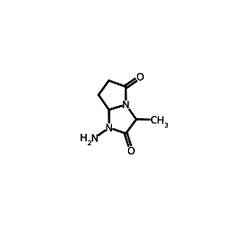 CC1C(=O)N(N)C2CCC(=O)N12